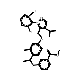 COC(=O)c1cccc(SC(C)c2ccc(OCc3c(C(C)C)cnn3-c3c(Cl)cccc3Cl)cc2C)c1